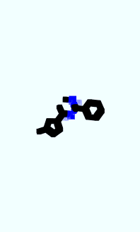 C/N=C(\N=C(/C)C1=CC=C(C)C1)c1ccccc1